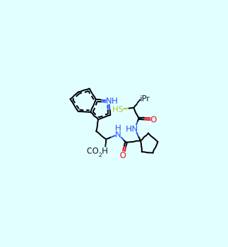 CC(C)C(S)C(=O)NC1(C(=O)NC(Cc2c[nH]c3ccccc23)C(=O)O)CCCC1